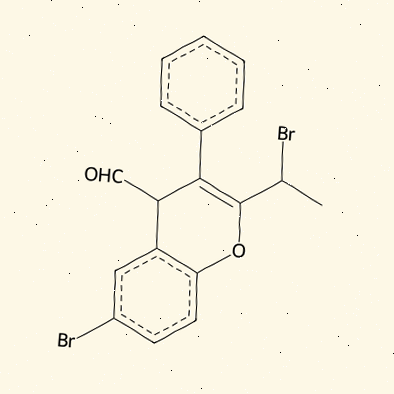 CC(Br)C1=C(c2ccccc2)C(C=O)c2cc(Br)ccc2O1